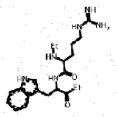 CCNC(CCCNC(=N)N)C(=O)NC(Cc1c[nH]c2ccccc12)C(=O)CC